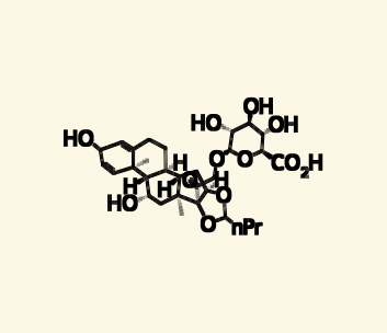 CCCC1O[C@@H]2C[C@H]3[C@@H]4CCC5=CC(O)C=C[C@]5(C)[C@H]4[C@@H](O)C[C@]3(C)[C@]2(C(=O)CO[C@@H]2O[C@H](C(=O)O)[C@@H](O)[C@H](O)[C@H]2O)O1